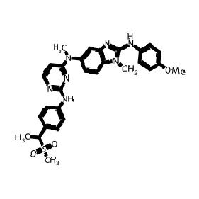 COc1ccc(Nc2nc3cc(N(C)c4ccnc(Nc5ccc(C(C)S(C)(=O)=O)cc5)n4)ccc3n2C)cc1